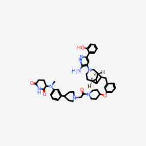 CN(c1cccc(C2CCN(CC(=O)N3CCC(Oc4cccc(CC5C6C7[C@@H]5CN(c5cc(-c8ccccc8O)nnc5N)CC[C@H]67)c4)CC3)CC2)c1)C1CCC(=O)NC1=O